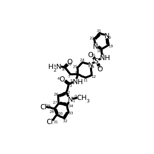 Cn1c(C(=O)NC2(CC(N)=O)CCN(S(=O)(=O)Nc3cnccn3)CC2)cc2c(Cl)c(Cl)ccc21